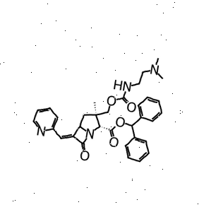 CN(C)CCNC(=O)OC[C@]1(C)CC2/C(=C\c3ccccn3)C(=O)N2[C@H]1C(=O)OC(c1ccccc1)c1ccccc1